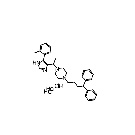 Cc1ccccc1-c1[nH]cnc1C(C)N1CCN(CCCC(c2ccccc2)c2ccccc2)CC1.Cl.Cl.Cl